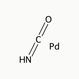 N=C=O.[Pd]